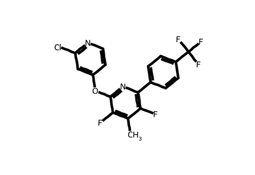 Cc1c(F)c(Oc2ccnc(Cl)c2)nc(-c2ccc(C(F)(F)F)cc2)c1F